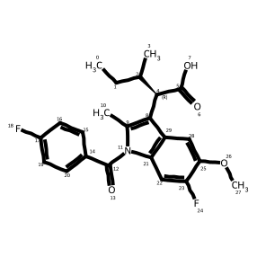 CCC(C)[C@@H](C(=O)O)c1c(C)n(C(=O)c2ccc(F)cc2)c2cc(F)c(OC)cc12